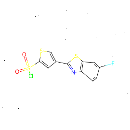 O=S(=O)(Cl)c1cc(-c2nc3ccc(F)cc3s2)cs1